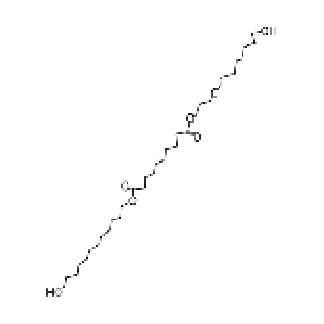 O=C(CCCCCCCCC(=O)OCCCCCCCCCCCCO)OCCCCCCCCCCCCO